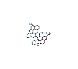 CCc1c(-c2cccc(C#N)c2)c(N2c3ccccc3Oc3ccccc32)c2c(c1-c1cccc(C#N)c1)N1c3ccccc3Oc3cccc(c31)C2